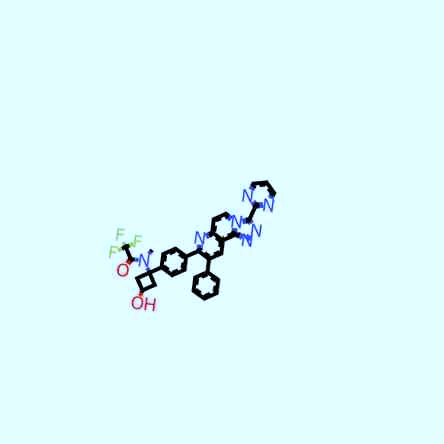 CN(C(=O)C(F)(F)F)C1(c2ccc(-c3nc4ccn5c(-c6ncccn6)nnc5c4cc3-c3ccccc3)cc2)CC(O)C1